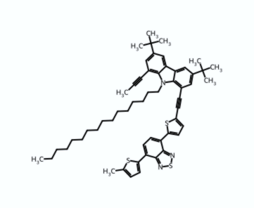 CC#Cc1cc(C(C)(C)C)cc2c3cc(C(C)(C)C)cc(C#Cc4ccc(-c5ccc(-c6ccc(C)s6)c6nsnc56)s4)c3n(CCCCCCCCCCCCCCCC)c12